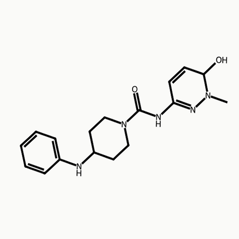 CN1N=C(NC(=O)N2CCC(Nc3ccccc3)CC2)C=CC1O